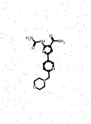 NC(=O)Nc1sc(-c2ccc(CN3CCOCC3)nc2)cc1C(N)=O